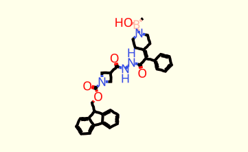 CB(O)N1CCC(=C(C(=O)NNC(=O)C2CN(C(=O)OCC3c4ccccc4-c4ccccc43)C2)c2ccccc2)CC1